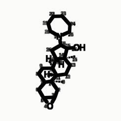 C[C@]12CC3OC3CC1CC[C@@H]1[C@@H]2CC[C@]2(C)C(O)C(N3CCCCCC3)C[C@@H]12